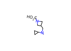 CN(CC1CN(C(=O)O)C1)C1CC1